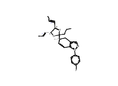 C/C=C/[C@H]1OC(CCC)([C@]2(C)C=Cc3c(cnn3-c3ccc(F)cc3)C2)O[C@@H]1/C=C/C